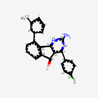 Cc1cccc(-c2cccc3c2-c2nc(N)nc(-c4ccc(F)cc4)c2C3=O)c1